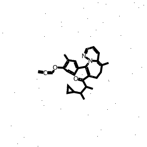 C=C=COc1ccc(C2=C(C(=O)C(C)C(C)C3CC3)CCC(C)=C3C=CC=NN32)cc1C